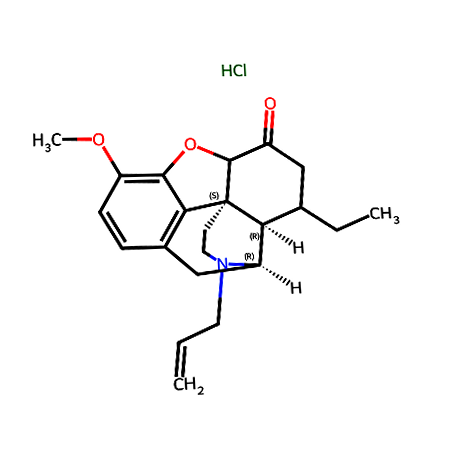 C=CCN1CC[C@]23c4c5ccc(OC)c4OC2C(=O)CC(CC)[C@H]3[C@H]1C5.Cl